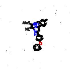 CSC1=C(C#N)C2NC(c3ccc(Oc4ccccc4)cc3)CC(c3ccc(C)cc3C)N2N1